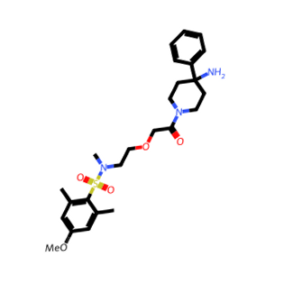 COc1cc(C)c(S(=O)(=O)N(C)CCOCC(=O)N2CCC(N)(c3ccccc3)CC2)c(C)c1